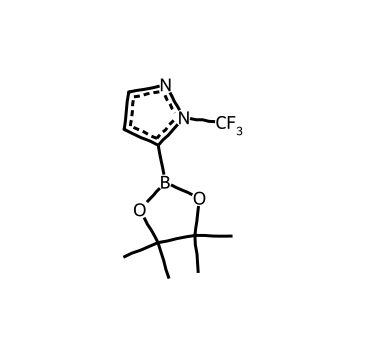 CC1(C)OB(c2ccnn2C(F)(F)F)OC1(C)C